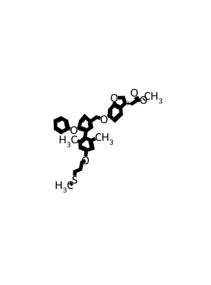 COC(=O)C[C@@H]1COc2cc(OCc3ccc(Oc4ccccc4)c(-c4c(C)cc(OCCCSC)cc4C)c3)ccc21